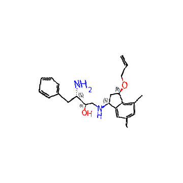 C=CCO[C@@H]1C[C@H](NC[C@@H](O)[C@@H](N)Cc2ccccc2)c2cc(C)cc(C)c21